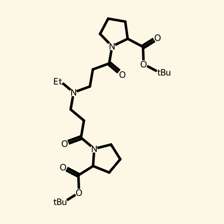 CCN(CCC(=O)N1CCCC1C(=O)OC(C)(C)C)CCC(=O)N1CCCC1C(=O)OC(C)(C)C